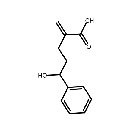 C=C(CCC(O)c1ccccc1)C(=O)O